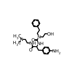 CN(C)CCNC(=O)C(Cc1ccc(N)cc1)NC(=O)N(CCO)CCc1ccccc1